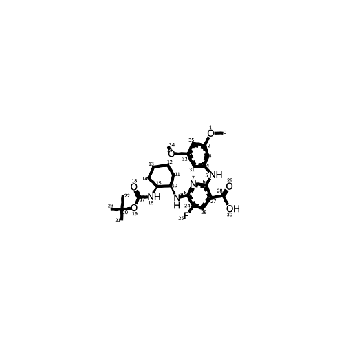 COc1cc(Nc2nc(N[C@@H]3CCCC[C@@H]3NC(=O)OC(C)(C)C)c(F)cc2C(=O)O)cc(OC)c1